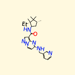 CC[C@@]1(C)[C@H](NC(=O)c2cnn3ccc(NCc4cccnc4)nc23)C[C@@H](C)C1(C)C